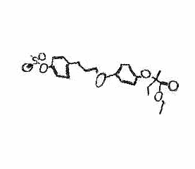 CCOC(=O)C(C)(CC)Oc1ccc(OCCCc2ccc(OS(C)(=O)=O)cc2)cc1